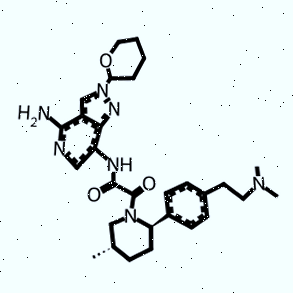 C[C@H]1CC[C@H](c2ccc(CCN(C)C)cc2)N(C(=O)C(=O)Nc2cnc(N)c3cn(C4CCCCO4)nc23)C1